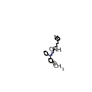 COc1cccc(/C(=C/C=C/C(=O)NCCCCc2cccnc2)c2ccccc2)c1